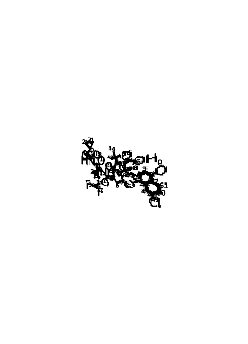 COc1cnc(O[C@@H]2C[C@@H](C(=O)N[C@]3(C(=O)NS(=O)(=O)C4CC4)C[C@H]3CC(F)F)N(C(=O)[C@@H](N(C(=O)O)C(C)(C)C)C(C)(C)C)C2)c2cc(Cl)ccc12